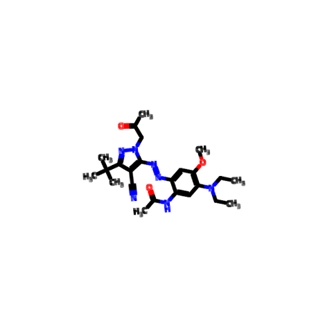 CCN(CC)c1cc(NC(C)=O)c(/N=N/c2c(C#N)c(C(C)(C)C)nn2CC(C)=O)cc1OC